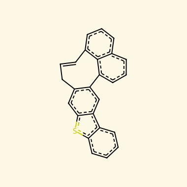 C1=C/c2cccc3cccc(c23)-c2cc3c(cc2C/1)sc1ccccc13